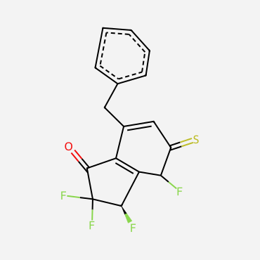 O=C1C2=C(C(F)C(=S)C=C2Cc2ccccc2)[C@@H](F)C1(F)F